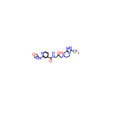 O=C(NC[C@H](O)CN1CCn2c(nnc2C(F)(F)F)C1)c1ccnc(NC2COC2)c1